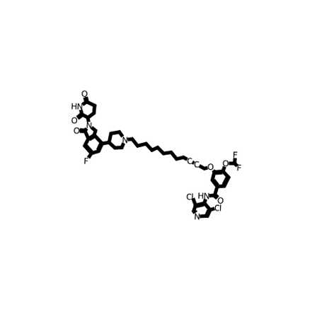 O=C1CCC(N2Cc3c(cc(F)cc3C3CCN(CCCCCCCCCCCCOc4cc(C(=O)Nc5c(Cl)cncc5Cl)ccc4OC(F)F)CC3)C2=O)C(=O)N1